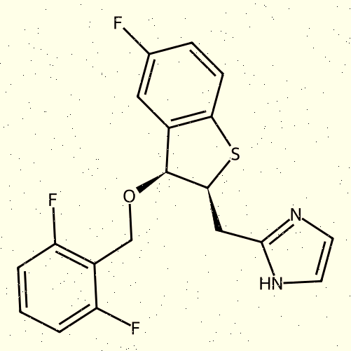 Fc1ccc2c(c1)[C@H](OCc1c(F)cccc1F)[C@H](Cc1ncc[nH]1)S2